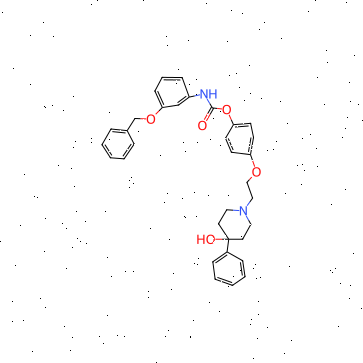 O=C(Nc1cccc(OCc2ccccc2)c1)Oc1ccc(OCCN2CCC(O)(c3ccccc3)CC2)cc1